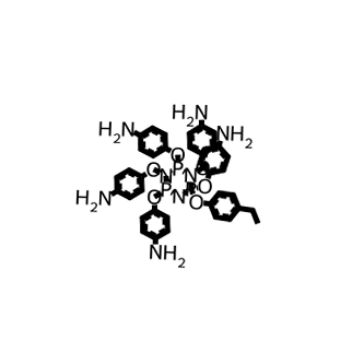 CCc1ccc(OP2(Oc3ccc(N)cc3)=NP(Oc3ccc(N)cc3)N(Oc3ccc(N)cc3)P(Oc3ccc(N)cc3)N2Oc2ccc(N)cc2)cc1